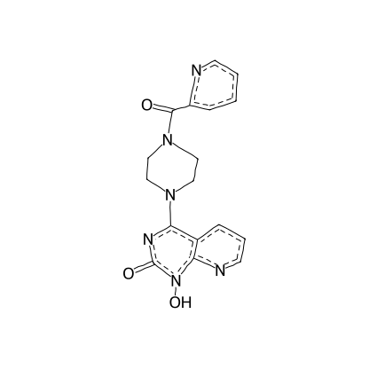 O=C(c1ccccn1)N1CCN(c2nc(=O)n(O)c3ncccc23)CC1